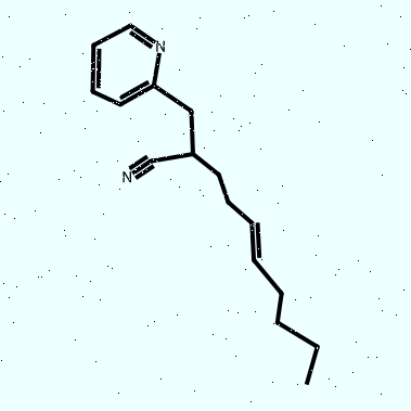 CCCCC=CCCC(C#N)Cc1ccccn1